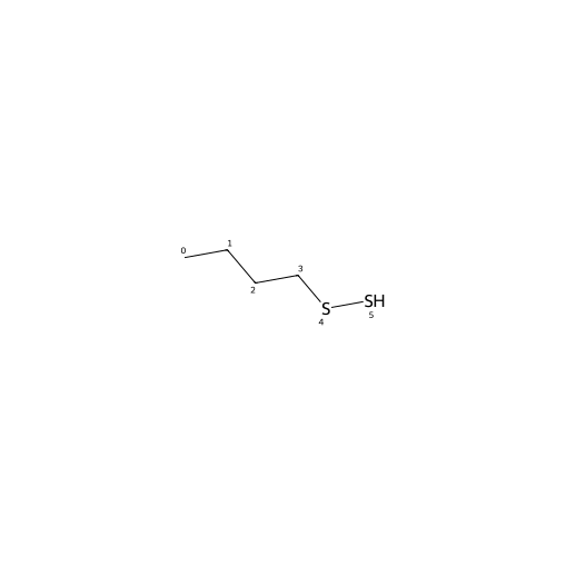 CCCCSS